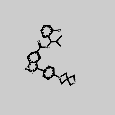 CC(C)C(NC(=O)c1ccc2[nH]nc(-c3ccc(N4CC5(COC5)C4)cc3)c2c1)c1ccccc1Cl